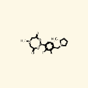 C[C@@H]1CCCN1Cc1ccc(B2OC(=O)CN(C)CC(=O)O2)c(F)c1F